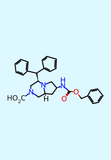 O=C(N[C@H]1C[C@H]2CN(C(=O)O)C[C@@H](C(c3ccccc3)c3ccccc3)N2C1)OCc1ccccc1